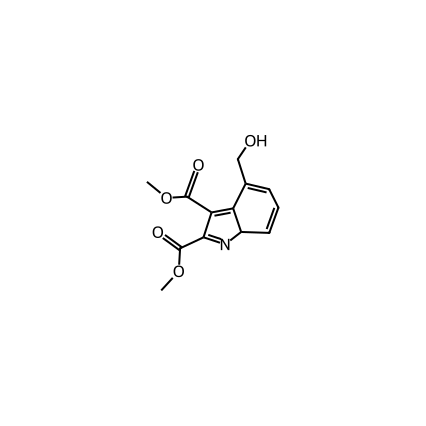 COC(=O)C1=NC2C=CC=C(CO)C2=C1C(=O)OC